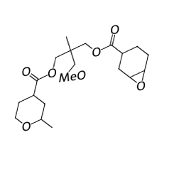 COCC(C)(COC(=O)C1CCOC(C)C1)COC(=O)C1CCC2OC2C1